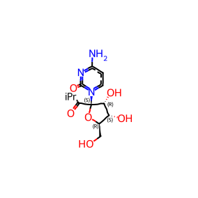 CC(C)C(=O)[C@@]1(n2ccc(N)nc2=O)O[C@H](CO)[C@@H](O)[C@H]1O